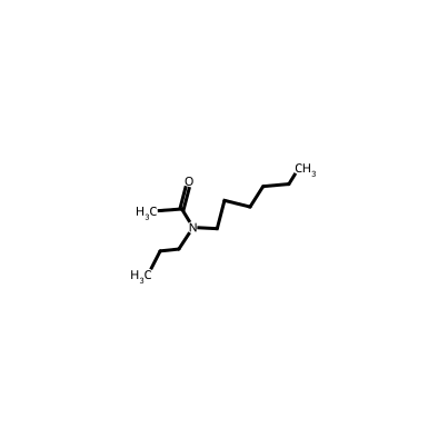 CCCCCCN(CCC)C(C)=O